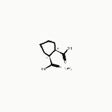 O=C(O)[C@H]1CCCC[C@H]1C(=O)O.[CaH2]